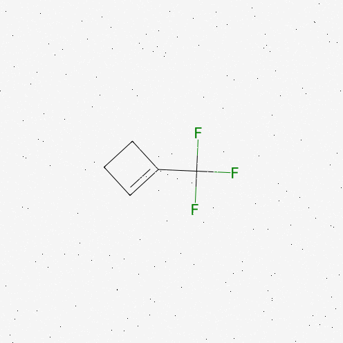 FC(F)(F)C1=CCC1